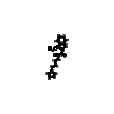 Cn1c(C(=O)NCCCCN2C[CH]CC2)cc2ccccc21